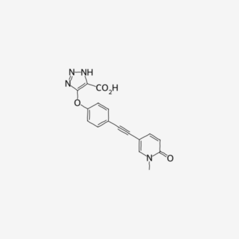 Cn1cc(C#Cc2ccc(Oc3nn[nH]c3C(=O)O)cc2)ccc1=O